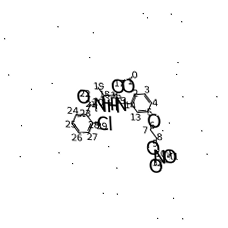 COc1ccc(OCCO[N+](=O)[O-])cc1NC(=O)C(C)NC(=O)c1ccccc1Cl